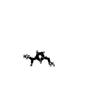 CCn1nnc(C(C)I)n1